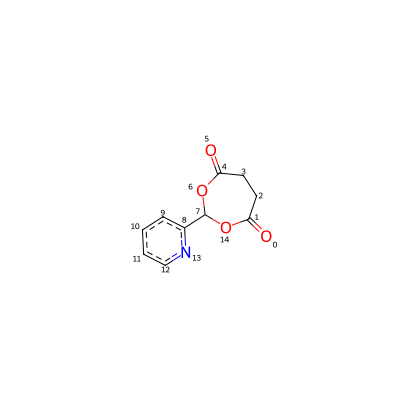 O=C1CCC(=O)OC(c2ccccn2)O1